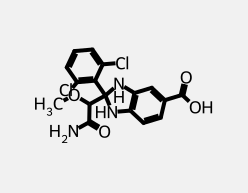 COC(C(N)=O)C1(c2c(Cl)cccc2Cl)Nc2ccc(C(=O)O)cc2N1